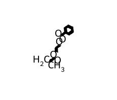 C=C(C)C(=O)OC=CCOOC(=O)c1ccccc1